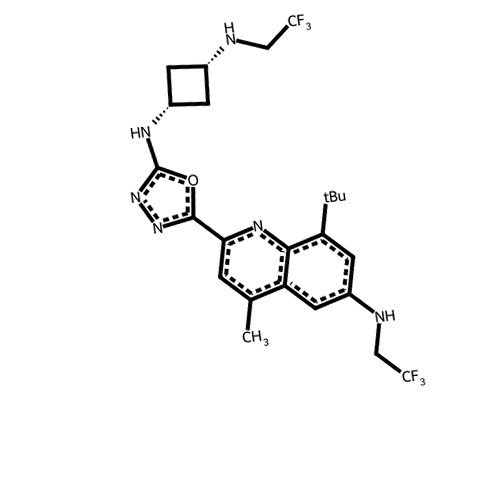 Cc1cc(-c2nnc(N[C@H]3C[C@@H](NCC(F)(F)F)C3)o2)nc2c(C(C)(C)C)cc(NCC(F)(F)F)cc12